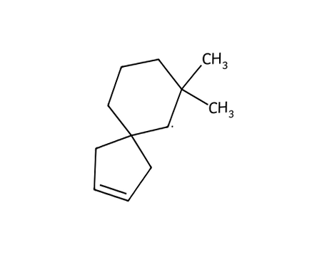 CC1(C)[CH]C2(CC=CC2)CCC1